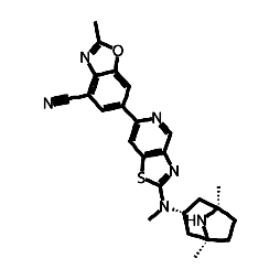 Cc1nc2c(C#N)cc(-c3cc4sc(N(C)[C@H]5C[C@]6(C)CC[C@](C)(C5)N6)nc4cn3)cc2o1